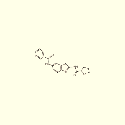 O=C(Nc1ccc2nc(NC(=O)[C@H]3CCCO3)sc2c1)c1cccnc1